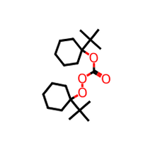 CC(C)(C)C1(OOC(=O)OC2(C(C)(C)C)CCCCC2)CCCCC1